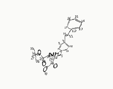 COC(=O)[C@H](Cc1ccc(C=Cc2ccccc2)cc1)NC(=O)OC(C)(C)C